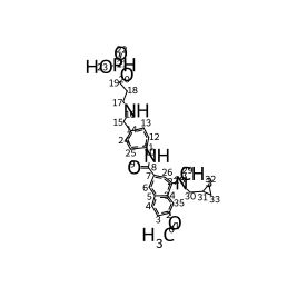 COc1ccc2cc(C(=O)Nc3ccc(CNCCCO[PH](=O)O)cc3)cc(N(C)CC3CC3)c2c1